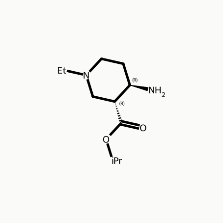 CCN1CC[C@@H](N)[C@H](C(=O)OC(C)C)C1